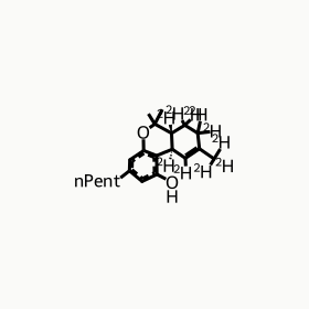 [2H]C1=C(C([2H])([2H])[2H])C([2H])([2H])C([2H])([2H])[C@@]2([2H])C(C)(C)Oc3cc(CCCCC)cc(O)c3[C@]12[2H]